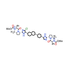 COC(=O)NC(C(=O)N1[C@@H](C)CC[C@H]1c1ncc(-c2ccc(-c3ccc4cc(-c5[nH]c([C@@H]6CC[C@H](C)N6C(=O)C(NC(=O)OC)C(C)C)nc5Cl)ccc4c3)cc2)[nH]1)C(C)C